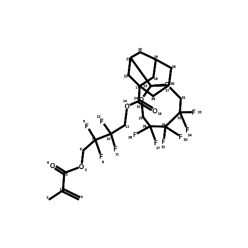 C=C(C)C(=O)OCC(F)(F)C(F)(F)COC(=O)C12CC3CC(C1)C1(OCC(F)(F)C(F)(F)C(F)(F)CO1)C(C3)C2